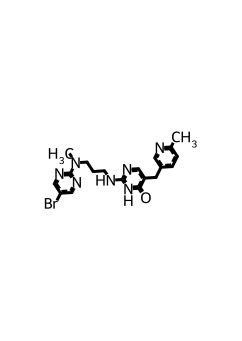 Cc1ccc(Cc2cnc(NCCCN(C)c3ncc(Br)cn3)[nH]c2=O)cn1